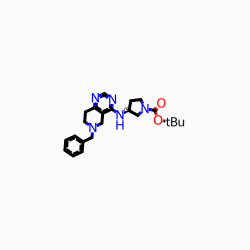 CC(C)(C)OC(=O)N1CC[C@H](Nc2ncnc3c2CN(Cc2ccccc2)CC3)C1